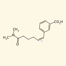 CN(C)C(=O)CCC/C=C\c1cccc(C(=O)O)c1